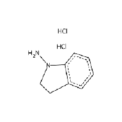 Cl.Cl.NN1CCc2ccccc21